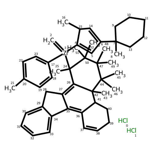 Cl.Cl.[CH2]=[Zr]([C]1=CC(C2(C)CCCCC2)=CC1C)([c]1ccc(C)cc1)[C]1(C)C2=C3Cc4ccccc4C3=C3C=CCCC3C2(C)C(C)(C)C(C)(C)C1(C)C